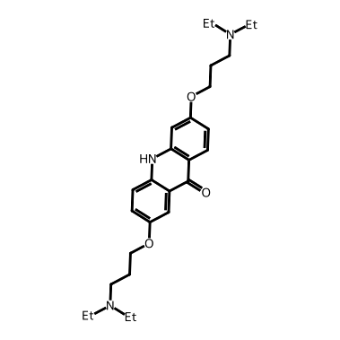 CCN(CC)CCCOc1ccc2c(=O)c3cc(OCCCN(CC)CC)ccc3[nH]c2c1